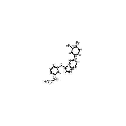 O=C(O)Nc1cccc(Cc2cnc3ncc(-c4ccc(Br)c(F)c4)nn23)c1